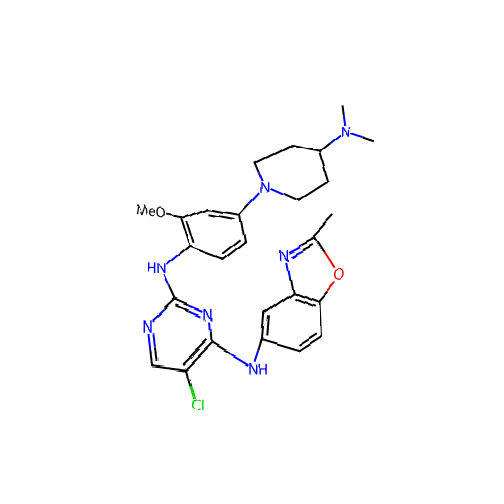 COc1cc(N2CCC(N(C)C)CC2)ccc1Nc1ncc(Cl)c(Nc2ccc3oc(C)nc3c2)n1